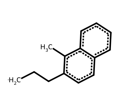 [CH2]CCc1ccc2ccccc2c1C